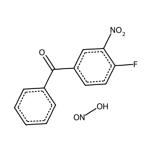 O=C(c1ccccc1)c1ccc(F)c([N+](=O)[O-])c1.O=NO